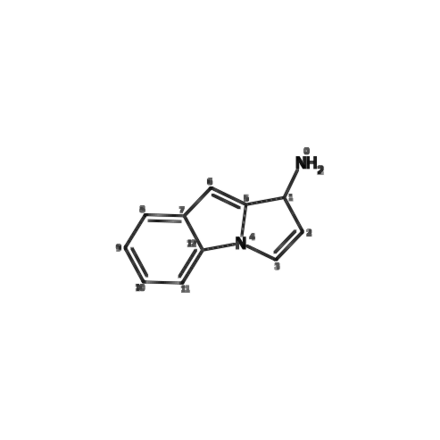 NC1C=Cn2c1cc1ccccc12